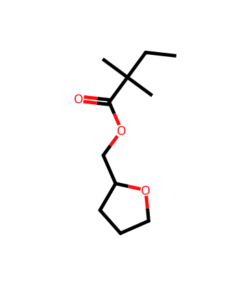 CCC(C)(C)C(=O)OCC1CCCO1